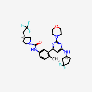 Cc1ccc(NC(=O)N2CC[C@@H](CC(F)(F)F)C2)cc1-c1cc(N[C@H]2CCC(F)(F)C2)nc(N2CCOCC2)n1